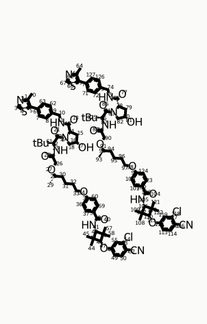 Cc1ncsc1-c1ccc(CNC(=O)C2CC(O)CN2C(=O)[C@@H](NC(=O)CO[C@@H](C)CCCCOc2ccc(C(=O)N[C@H]3C(C)(C)[C@H](Oc4ccc(C#N)c(Cl)c4)C3(C)C)cc2)C(C)(C)C)cc1.Cc1ncsc1-c1ccc(CNC(=O)[C@@H]2C[C@@H](O)CN2C(=O)[C@@H](NC(=O)CO[C@H](C)CCCCOc2ccc(C(=O)N[C@H]3C(C)(C)[C@H](Oc4ccc(C#N)c(Cl)c4)C3(C)C)cc2)C(C)(C)C)cc1